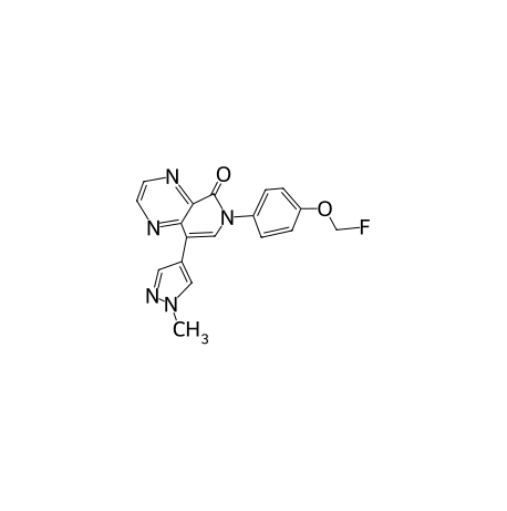 Cn1cc(-c2cn(-c3ccc(OCF)cc3)c(=O)c3nccnc23)cn1